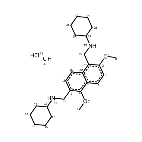 COc1ccc2c(OC)c(CNC3CCCCC3)ccc2c1CNC1CCCCC1.Cl.Cl